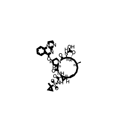 C[C@H]1CCC=C[C@@H]2C[C@@]2(C(=O)NS(=O)(=O)C2(C)CC2)NC(=O)[C@@H]2C[C@@H](Oc3nc4nccn4c4ccccc34)CN2C(=O)[C@@H](NC(=O)O)[C@H](C)C1